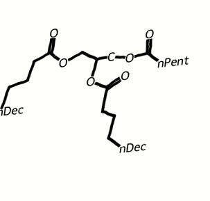 CCCCCCCCCCCCCC(=O)OCC(COC(=O)CCCCC)OC(=O)CCCCCCCCCCCCC